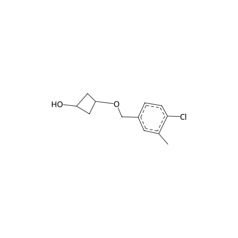 Cc1cc(COC2CC(O)C2)ccc1Cl